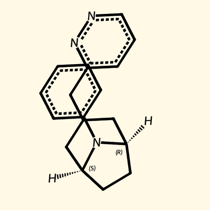 c1ccc(N2[C@@H]3CC[C@H]2CC(Cc2cccnn2)C3)cc1